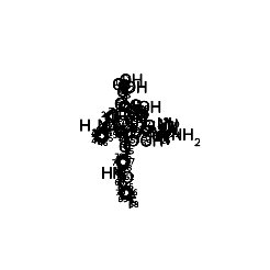 Nc1ccn([C@@H]2O[C@H](COP(=O)(O)O)[C@@H](OP(=O)(O)OC[C@H]3O[C@@H](n4cnc5c(N)ncnc54)[C@H](O)[C@@H]3OC(=O)[C@@H]3C[C@@H](Cc4ccccc4)CN3C(=O)OCc3ccc(NC(=O)Cc4ccc(F)cc4)cc3)[C@H]2O)c(=O)n1